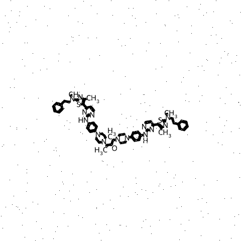 Cc1nc(N(C)CCc2ccccc2)sc1-c1ccnc(Nc2ccc(N3CCN(C(C)C(=O)C(C)N4CCN(c5ccc(Nc6nccc(-c7sc(N(C)CCc8ccccc8)nc7C)n6)cc5)CC4)CC3)cc2)n1